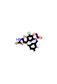 Cc1cc(C)cc(CN2C(=O)COc3c(Cl)cc(/C=C4/SC(=S)NC4=O)cc32)c1